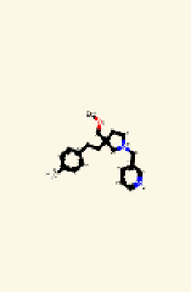 CCOCC1(CCc2ccc(C)cc2)CCN(Cc2cccnc2)C1